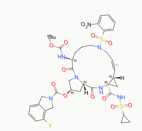 CC(C)(C)OC(=O)N[C@H]1CCCN(S(=O)(=O)c2ccccc2[N+](=O)[O-])C/C=C\[C@@H]2C[C@@]2(C(=O)NS(=O)(=O)C2CC2)NC(=O)[C@@H]2C[C@@H](OC(=O)N3Cc4cccc(F)c4C3)CN2C1=O